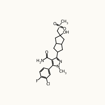 Cn1nc(C2CC3CC(O)(CS(C)(=O)=O)CC3C2)c(C(N)=O)c1-c1ccc(F)c(Cl)c1